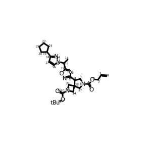 C=CCOC(=O)N1CC(c2noc(C(C)n3ccc(C4CCCC4)n3)n2)C2(C1)CN(C(=O)OC(C)(C)C)C2